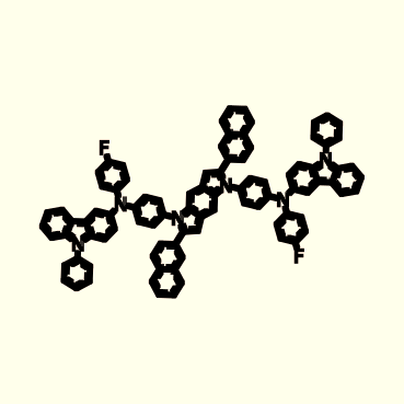 Fc1ccc(N(c2ccc(-n3c(-c4ccc5ccccc5c4)cc4cc5c(cc(-c6ccc7ccccc7c6)n5-c5ccc(N(c6ccc(F)cc6)c6ccc7c(c6)c6ccccc6n7-c6ccccc6)cc5)cc43)cc2)c2ccc3c(c2)c2ccccc2n3-c2ccccc2)cc1